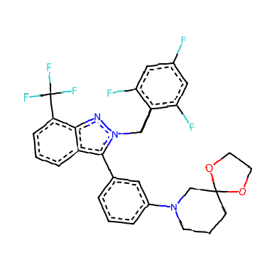 Fc1cc(F)c(Cn2nc3c(C(F)(F)F)cccc3c2-c2cccc(N3CCCC4(C3)OCCO4)c2)c(F)c1